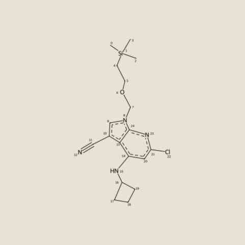 C[Si](C)(C)CCOCn1cc(C#N)c2c(NC3CCC3)cc(Cl)nc21